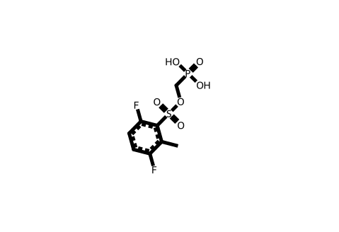 Cc1c(F)ccc(F)c1S(=O)(=O)OCP(=O)(O)O